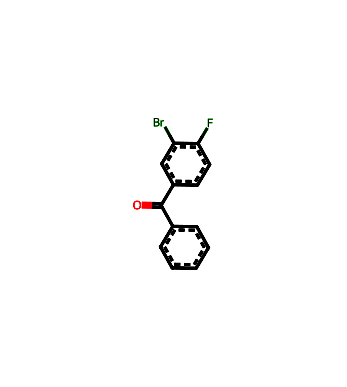 O=C(c1ccccc1)c1ccc(F)c(Br)c1